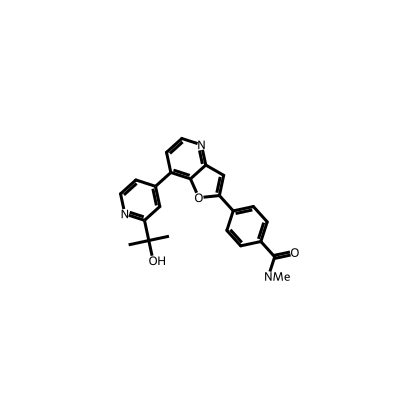 CNC(=O)c1ccc(-c2cc3nccc(-c4ccnc(C(C)(C)O)c4)c3o2)cc1